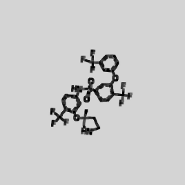 C[C@@]1(Oc2cc(NS(=O)(=O)c3ccc(C(F)(F)F)c(Oc4cccc(C(F)(F)F)c4)c3)ccc2C(F)(F)F)CCNC1